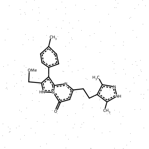 COCc1[nH]n2c(=O)cc(CCc3c(C)n[nH]c3C)nc2c1-c1ccc(C)cc1